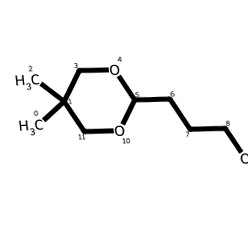 CC1(C)COC(CCCO)OC1